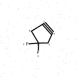 FC1(F)CC#CC1